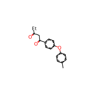 CCC(=O)CC(=O)c1ccc(Oc2ccc(C)cc2)cc1